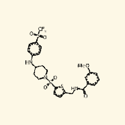 COc1cccc(C(=O)NCc2ccc(S(=O)(=O)N3CCC(Nc4ccc(S(=O)(=O)C(F)(F)F)cc4)CC3)s2)c1